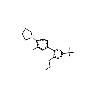 CCCc1sc(C(C)(C)C)nc1-c1ccc(N2CCCC2)c(C)c1